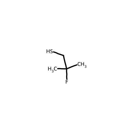 CC(C)(F)CS